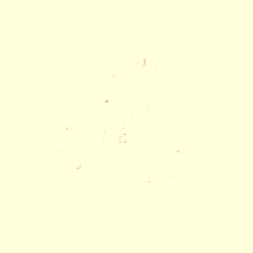 [AlH3].c1ccc([SiH](c2ccccc2)c2ccccc2)cc1